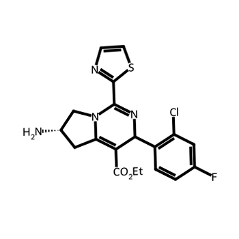 CCOC(=O)C1=C2C[C@H](N)CN2C(c2nccs2)=NC1c1ccc(F)cc1Cl